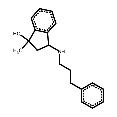 CC1(O)CC(NCCCc2ccccc2)c2ccccc21